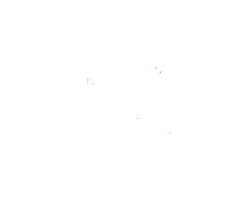 C1=NCCO1.C1=NCCO1.[Cu+2]